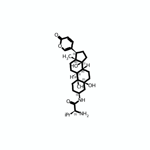 CC(C)[C@H](N)C(=O)N[C@H]1CC[C@]2(C)[C@H]3CC[C@]4(C)[C@@H](c5ccc(=O)oc5)CC[C@]4(O)[C@@H]3CC[C@]2(O)C1